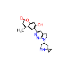 Cc1cc(=O)oc2cc(O)c(-c3cc4c(nn3)N(C3CCNC5(CC5)C3)CC4)cc12